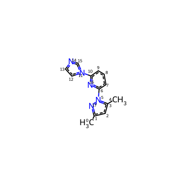 Cc1cc(C)n(-c2cccc(-n3ccnc3)n2)n1